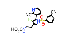 N#Cc1cccc(S(=O)(=O)n2cc(CCNC(=O)O)c(F)c2-c2cccnc2C#N)c1